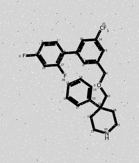 Fc1ccc(-c2cc(COCC3(c4ccccc4)CCNCC3)cc(C(F)(F)F)c2)c(F)c1